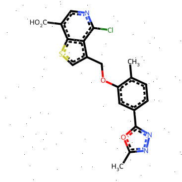 Cc1nnc(-c2ccc(C)c(OCc3csc4c(C(=O)O)cnc(Cl)c34)c2)o1